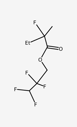 CCC(C)(F)C(=O)OCC(F)(F)C(F)F